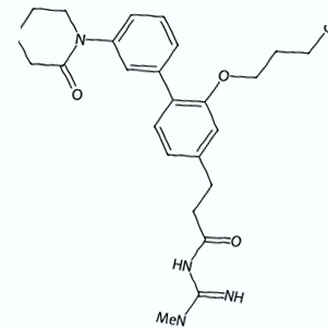 CNC(=N)NC(=O)CCc1ccc(-c2cccc(N3CCCCC3=O)c2)c(OCCCOC)c1